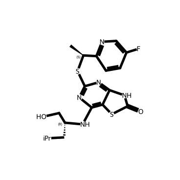 CC(C)C[C@H](CO)Nc1nc(S[C@@H](C)c2ccc(F)cn2)nc2[nH]c(=O)sc12